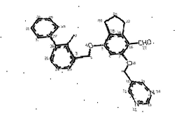 Cc1c(COc2cc(OCc3cncnc3)c(C=O)c3c2CCC3)cccc1-c1ccccc1